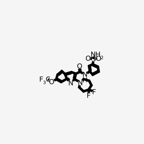 NS(=O)(=O)c1cccc(NC(=O)c2cc3ccc(OC(F)(F)F)cc3nc2N2CCCC(F)(F)CC2)c1